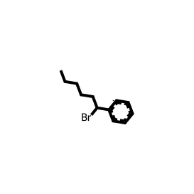 CCCCCC(Br)c1[c]cccc1